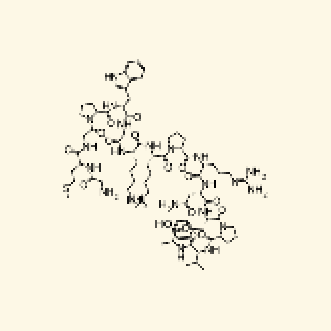 CSCC[C@H](NC(=O)CN)C(=O)NCC(=O)N1CCC[C@H]1C(=O)N[C@@H](Cc1c[nH]c2ccccc12)C(=O)NCC(=O)N[C@@H](CCCCN)C(=O)N[C@@H](CCCCN)C(=O)N1CCC[C@H]1C(=O)N[C@@H](CCCN=C(N)N)C(=O)N[C@@H](CC(N)=O)C(=O)N[C@@H](Cc1ccccc1)C(=O)N1CCC[C@H]1C(=O)N[C@H](C(=O)N[C@@H](C)C(=O)O)C(C)C